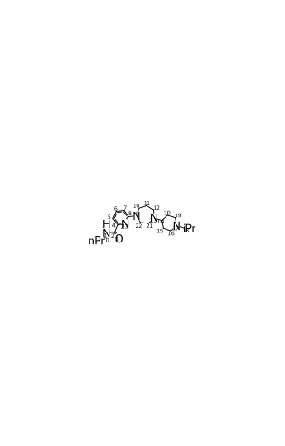 CCCNC(=O)c1cccc(N2CCCN(C3CCN(C(C)C)CC3)CC2)n1